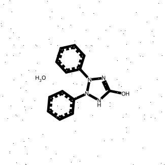 O.OC1=NN(c2ccccc2)N(c2ccccc2)N1